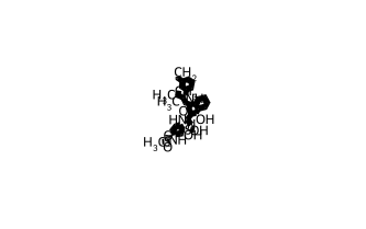 C=Cc1cccc(CNC2(CCC(C)(C)C)C(=O)C(C3=NS(O)(O)c4cc(NS(C)(=O)=O)ccc4N3)=C(O)c3ccccc32)c1